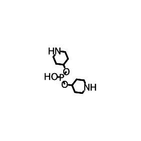 OP(OC1CCNCC1)OC1CCNCC1